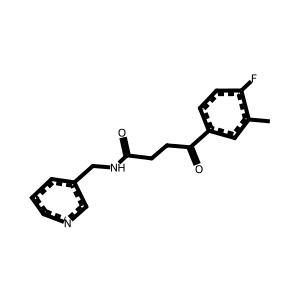 Cc1cc(C(=O)CCC(=O)NCc2cccnc2)ccc1F